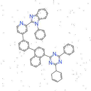 C1=CCC(c2nc(-c3ccccc3)nc(-c3ccc(-c4cccc(-c5ccnc(-c6nc7ccccc7n6-c6ccccc6)c5)c4)c4ccccc34)n2)C=C1